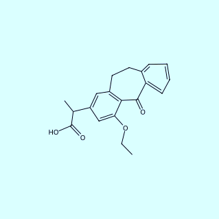 CCOc1cc(C(C)C(=O)O)cc2c1C(=O)c1ccccc1CC2